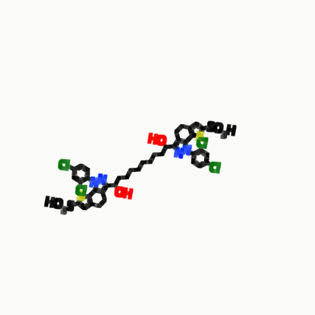 O=S(=O)(O)c1cc2c(s1)-c1c(c(C(O)CCCCCCCCC(O)c3nn(-c4ccc(Cl)cc4Cl)c4c3CCc3cc(S(=O)(=O)O)sc3-4)nn1-c1ccc(Cl)cc1Cl)CC2